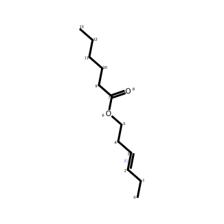 CC/C=C/CCOC(=O)CCCCC